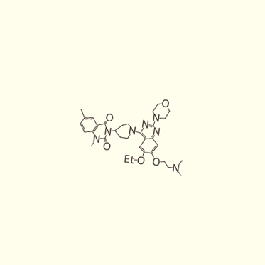 CCOc1cc2c(N3CCC(n4c(=O)c5cc(C)ccc5n(C)c4=O)CC3)nc(N3CCOCC3)nc2cc1OCCN(C)C